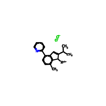 Cc1ccc(-c2ccccn2)c2c1[CH]([Zr+2])C(C(C)C)=C2.[Cl-].[Cl-]